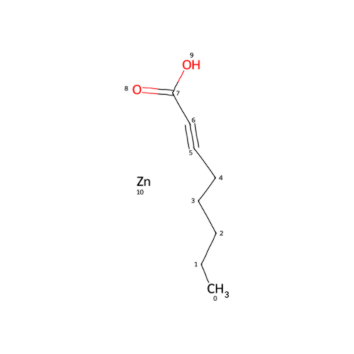 CCCCCC#CC(=O)O.[Zn]